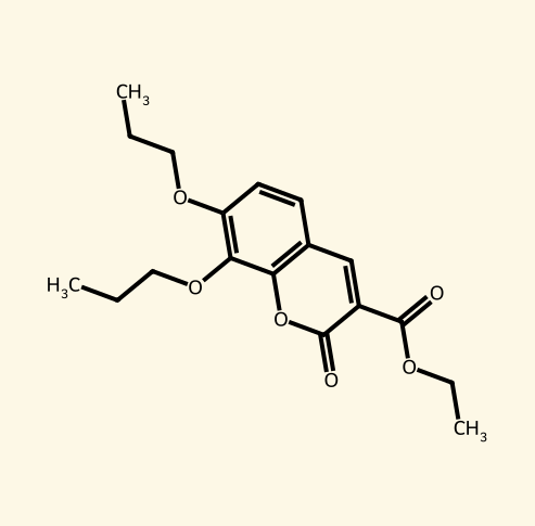 CCCOc1ccc2cc(C(=O)OCC)c(=O)oc2c1OCCC